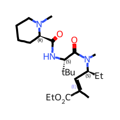 CCOC(=O)/C(C)=C/[C@H](CC)N(C)C(=O)[C@@H](NC(=O)[C@H]1CCCCN1C)C(C)(C)C